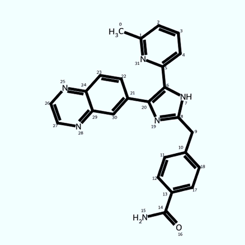 Cc1cccc(-c2[nH]c(Cc3ccc(C(N)=O)cc3)nc2-c2ccc3nccnc3c2)n1